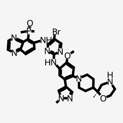 COc1cc(N2CCC([C@@]3(C)CNCCO3)CC2)c(-c2cnn(C)c2)cc1Nc1ncc(Br)c(Nc2ccc3nccnc3c2P(C)(C)=O)n1